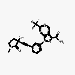 CN1CCC(O)(C#Cc2cccc(-n3nc(C(N)=O)c4cnc(C(F)(F)F)nc43)c2)C1=O